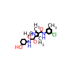 Cc1cc(Cl)cc(NC(=O)c2c(C)c(C(=O)C(=O)N[C@@H]3CCC[C@@H](O)C3)n(C)c2C)c1